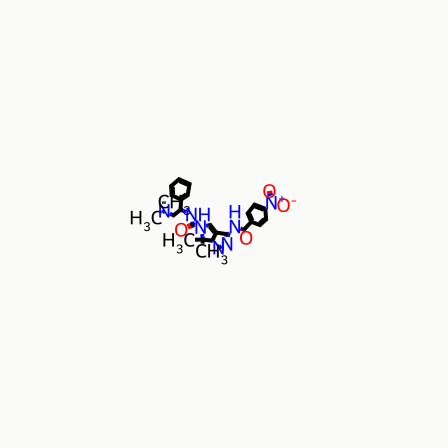 CN(C)CC(NC(=O)N1C=C2C(NC(=O)c3ccc([N+](=O)[O-])cc3)=NN=C2C1(C)C)c1ccccc1